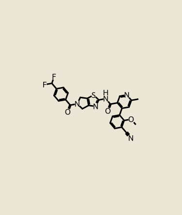 COc1c(C#N)cccc1-c1cc(C)ncc1C(=O)Nc1nc2c(s1)CN(C(=O)c1ccc(C(F)F)cc1)C2